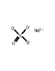 [Nd+3].[O]=[V]([O-])([O-])[O-]